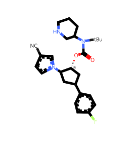 CC(C)(C)N(C(=O)O[C@@H]1CC(c2ccc(F)cc2)CC1n1ccc(C#N)c1)C1CCCNC1